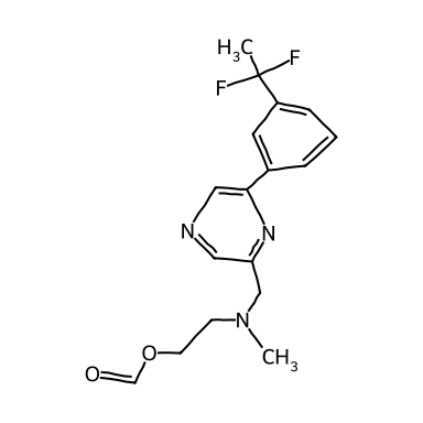 CN(CCOC=O)Cc1cncc(-c2cccc(C(C)(F)F)c2)n1